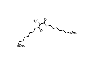 CCCCCCCCCCCCCCCCCC(=O)N(C)C(=O)CCCCCCCCCCCCCCCCC